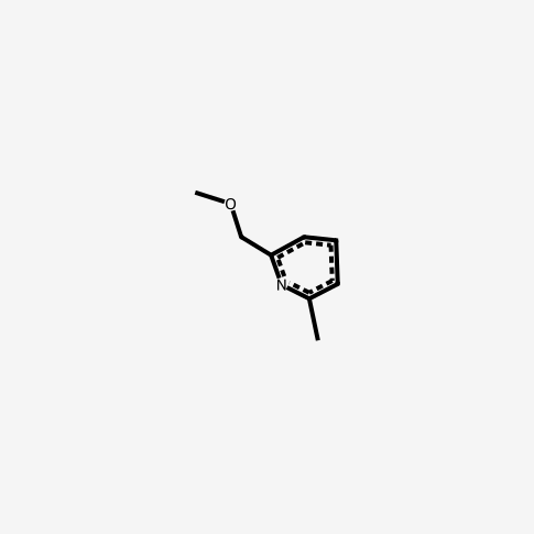 COCc1cccc(C)n1